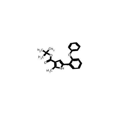 Cc1[nH]c(-c2ccccc2Oc2ccccc2)cc1C(=O)OC(C)(C)C